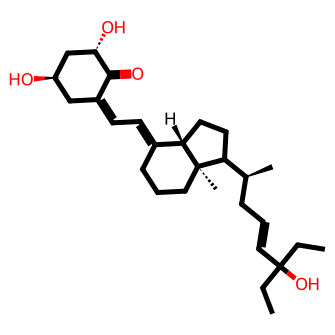 CCC(O)(/C=C/C[C@H](C)C1CC[C@H]2/C(=C/C=C3/C[C@@H](O)C[C@H](O)C3=O)CCC[C@]12C)CC